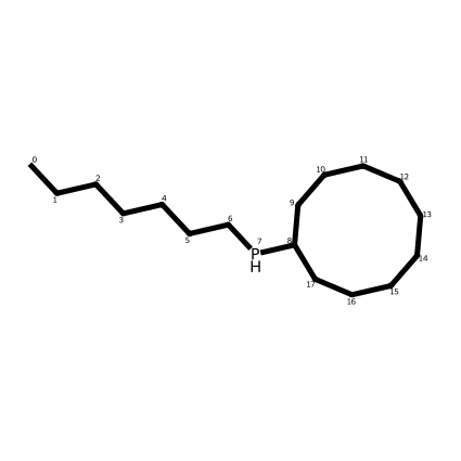 CCCCCCCPC1CCCCCCCCC1